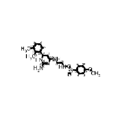 COc1ccc(S(=O)ONCCNC2=CC(c3cccc(C)c3C)NC(N)=N2)cc1